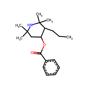 CCCC1C(OC(=O)c2ccccc2)CC(C)(C)NC1(C)C